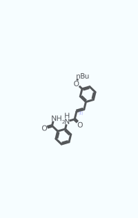 CCCCOc1cccc(/C=C/C(=O)Nc2ccccc2C(N)=O)c1